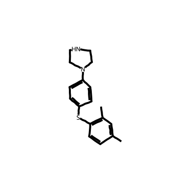 Cc1ccc(Sc2ccc(N3CCNCC3)cc2)c(C)c1